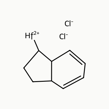 [Cl-].[Cl-].[Hf+2][CH]1CCC2C=CC=CC12